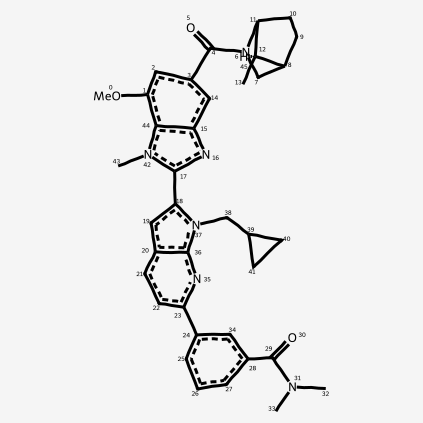 COc1cc(C(=O)N2CC3CCC2[C@@H]3C)cc2nc(-c3cc4ccc(-c5cccc(C(=O)N(C)C)c5)nc4n3CC3CC3)n(C)c12